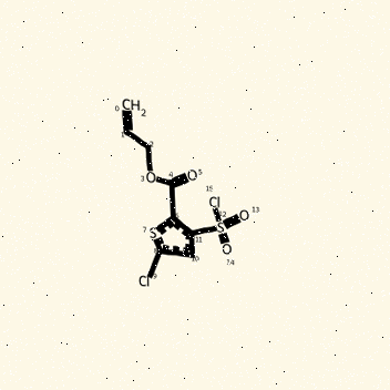 C=CCOC(=O)c1sc(Cl)cc1S(=O)(=O)Cl